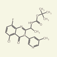 Cc1cncc(-n2c(C(C)NC(=O)OC(C)(C)C)nc3c(F)ccc(Cl)c3c2=O)c1